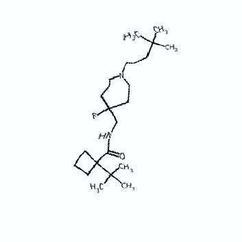 CC(C)(C)CCN1CCC(F)(CNC(=O)C2(C(C)(C)C)CCC2)CC1